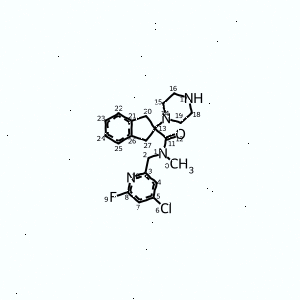 CN(Cc1cc(Cl)cc(F)n1)C(=O)C1(N2CCNCC2)Cc2ccccc2C1